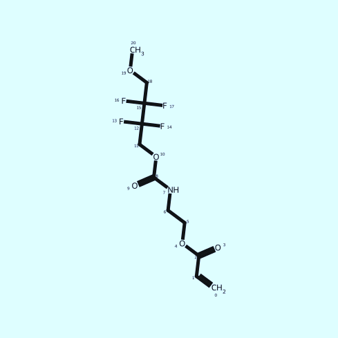 C=CC(=O)OCCNC(=O)OCC(F)(F)C(F)(F)COC